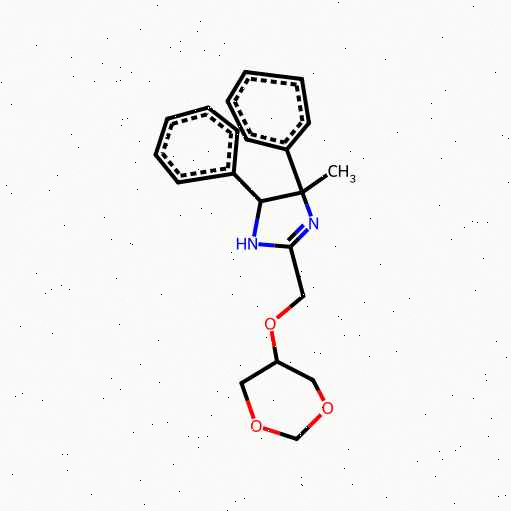 CC1(c2ccccc2)N=C(COC2COCOC2)NC1c1ccccc1